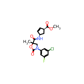 COC(=O)[C@@H]1C=C[C@H](NC(=O)C2(C)CN(c3cc(F)cc(Cl)c3)C(=O)O2)C1